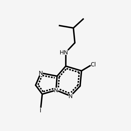 CC(C)CNc1c(Cl)cnn2c(I)cnc12